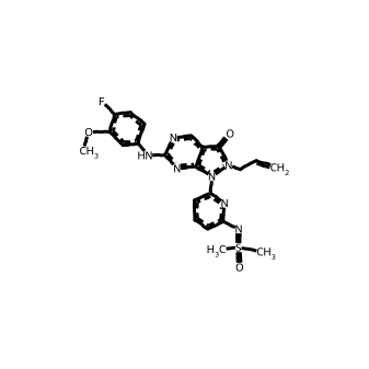 C=CCn1c(=O)c2cnc(Nc3ccc(F)c(OC)c3)nc2n1-c1cccc(N=S(C)(C)=O)n1